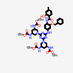 Cc1ccc(C(=O)Nc2ccc(Nc3nc(N4C[C@H](NC(=O)OC(C)(C)C)C[C@H](NC(=O)OC(C)(C)C)C4)nc(N4C[C@H](NC(=O)OC(C)(C)C)C[C@H](NC(=O)OC(C)(C)C)C4)n3)cc2OCc2ccccc2)c(O)c1